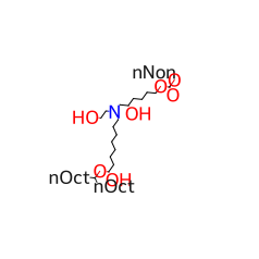 CCCCCCCCCOC(=O)OCCCCC(O)CN(CCO)CCCCCCCC(O)OC(CCCCCCCC)CCCCCCCC